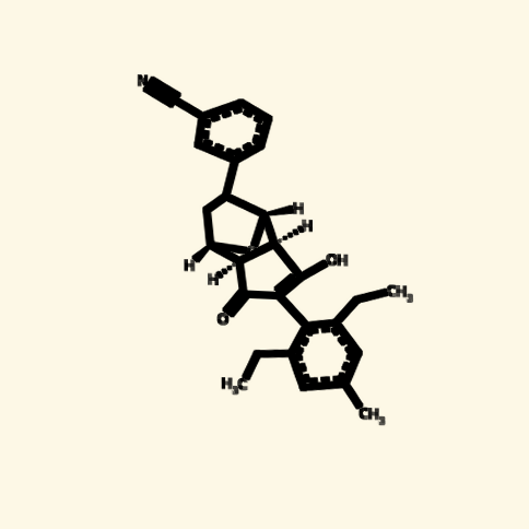 CCc1cc(C)cc(CC)c1C1=C(O)[C@H]2[C@@H](C1=O)[C@@H]1CC(c3cccc(C#N)c3)[C@H]2O1